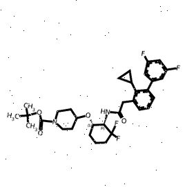 CC(C)(C)OC(=O)N1CCC(O[C@H]2CCCC(F)(F)[C@@H]2NC(=O)Cc2cccc(-c3cc(F)cc(F)c3)c2C2CC2)CC1